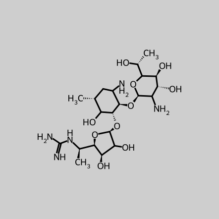 C[C@@H]1CC(N)[C@@H](O[C@H]2OC([C@@H](C)O)[C@@H](O)[C@H](O)C2N)[C@H](O[C@@H]2O[C@H]([C@@H](C)NC(=N)N)[C@H](O)C2O)C1O